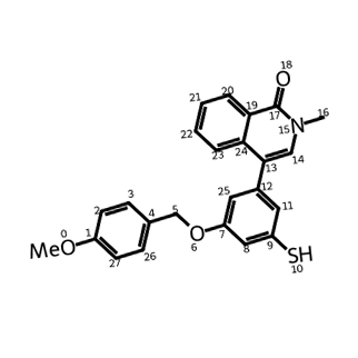 COc1ccc(COc2cc(S)cc(-c3cn(C)c(=O)c4ccccc34)c2)cc1